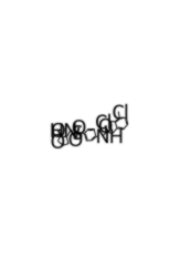 O=C(Cc1cccc(Cl)c1Cl)Nc1ccc(S(=O)(=O)NC2CCOC2=O)cc1